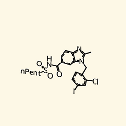 CCCCCS(=O)(=O)NC(=O)c1ccc2nc(C)n(Cc3ccc(I)cc3Cl)c2c1